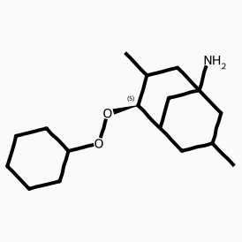 CC1CC2CC(N)(C1)CC(C)[C@@H]2OOC1CCCCC1